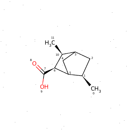 C[C@@H]1CC2CC1[C@@H](C(=O)O)[C@H]2C